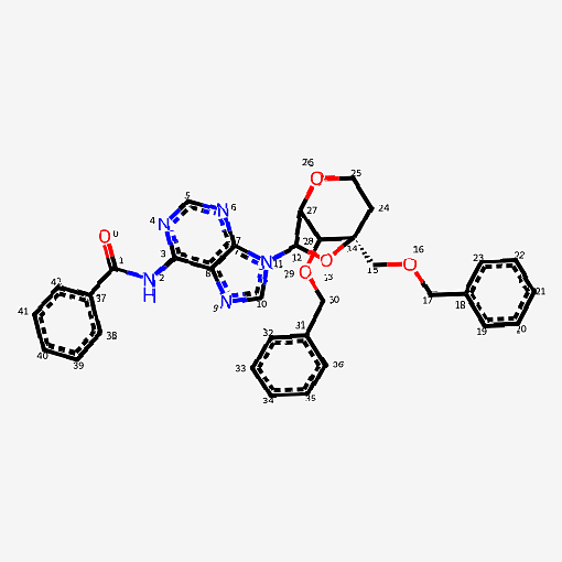 O=C(Nc1ncnc2c1ncn2C1O[C@]2(COCc3ccccc3)CCOC1C2OCc1ccccc1)c1ccccc1